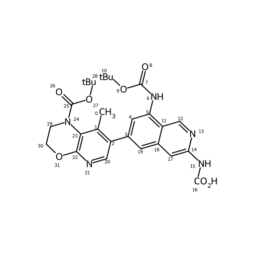 Cc1c(-c2cc(NC(=O)OC(C)(C)C)c3cnc(NC(=O)O)cc3c2)cnc2c1N(C(=O)OC(C)(C)C)CCO2